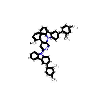 N#Cc1ccccc1-c1cc(-n2c3ccccc3c3cc(-c4ccc(C(F)(F)F)cc4C(F)(F)F)ccc32)ncc1-n1c2ccccc2c2cc(-c3ccc(C(F)(F)F)cc3C(F)(F)F)ccc21